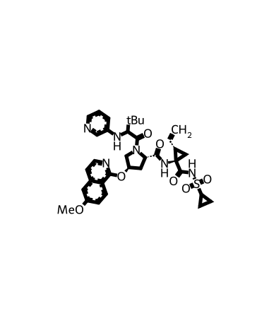 C=C[C@@H]1C[C@]1(NC(=O)[C@@H]1C[C@@H](Oc2nccc3cc(OC)ccc23)CN1C(=O)C(Nc1cccnc1)C(C)(C)C)C(=O)NS(=O)(=O)C1CC1